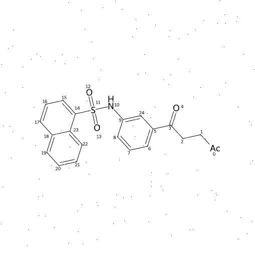 CC(=O)CCC(=O)c1cccc(NS(=O)(=O)c2cccc3ccccc23)c1